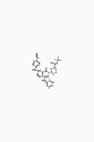 CC(C)(C)OC(=O)N1CCCC(CNc2cc(Nc3cnc(C#N)cn3)nnc2C(=O)Nc2ccccc2)C1